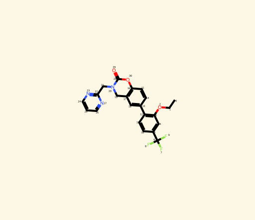 CCOc1cc(C(F)(F)F)ccc1-c1ccc2c(c1)CN(Cc1ncccn1)C(=O)O2